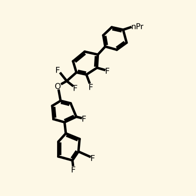 CCCc1ccc(-c2ccc(C(F)(F)Oc3ccc(-c4ccc(F)c(F)c4)c(F)c3)c(F)c2F)cc1